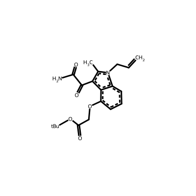 C=CCn1c(C)c(C(=O)C(N)=O)c2c(OCC(=O)OC(C)(C)C)cccc21